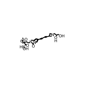 CC(CCN1Cc2cc(C#CC#CC3CN(CC(O)CO)C3)cn2C1=O)(C(=O)NO)S(C)(=O)=O